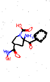 NC1(C(=O)c2ccccc2)CC(C(=O)NO)CCN1C(=O)O